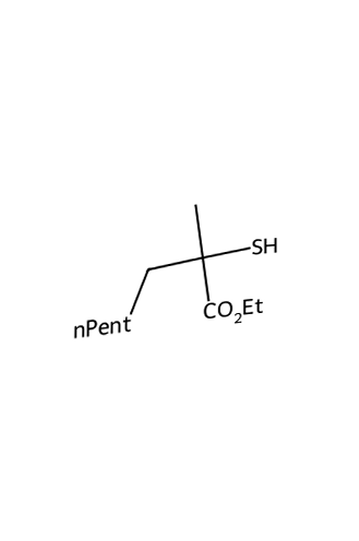 CCCCCCC(C)(S)C(=O)OCC